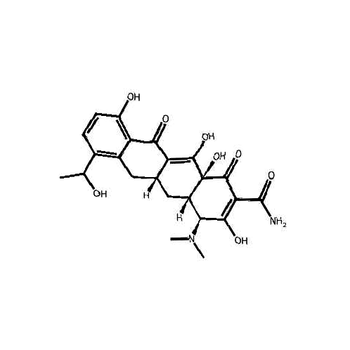 CC(O)c1ccc(O)c2c1C[C@H]1C[C@H]3[C@H](N(C)C)C(O)=C(C(N)=O)C(=O)[C@@]3(O)C(O)=C1C2=O